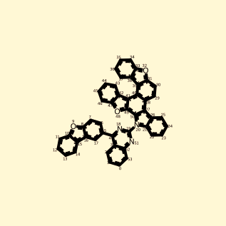 c1ccc2c(-c3ccc4oc5ccccc5c4c3)nc(-n3c4ccccc4c4c5ccc6oc7ccccc7c6c5c5c6ccccc6oc5c43)nc2c1